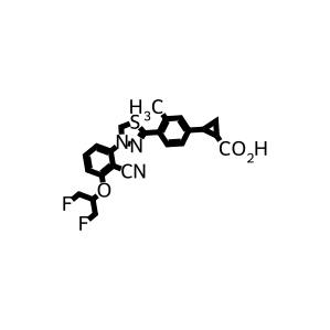 Cc1cc(C2CC2C(=O)O)ccc1C1=NN(c2cccc(OC(CF)CF)c2C#N)CS1